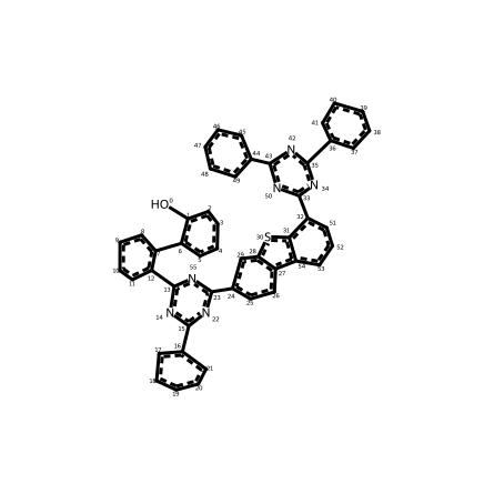 Oc1ccccc1-c1ccccc1-c1nc(-c2ccccc2)nc(-c2ccc3c(c2)sc2c(-c4nc(-c5ccccc5)nc(-c5ccccc5)n4)cccc23)n1